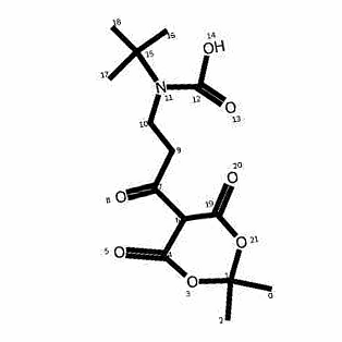 CC1(C)OC(=O)C(C(=O)CCN(C(=O)O)C(C)(C)C)C(=O)O1